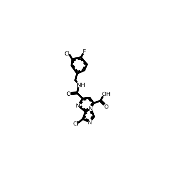 O=C(NCc1ccc(F)c(Cl)c1)c1cc(C(=O)O)n2cnc(Cl)c2n1